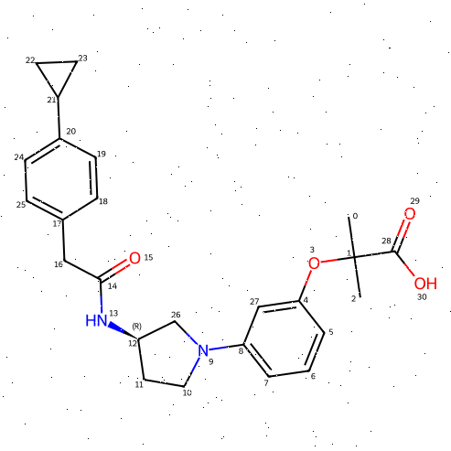 CC(C)(Oc1cccc(N2CC[C@@H](NC(=O)Cc3ccc(C4CC4)cc3)C2)c1)C(=O)O